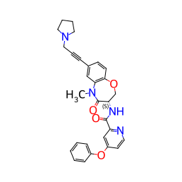 CN1C(=O)[C@@H](NC(=O)c2cc(Oc3ccccc3)ccn2)COc2ccc(C#CCN3CCCC3)cc21